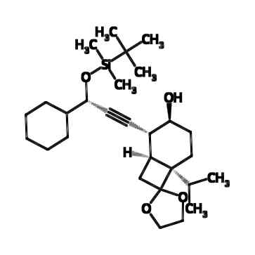 CC(C)[C@@]12CC[C@H](O)[C@@H](C#C[C@@H](O[Si](C)(C)C(C)(C)C)C3CCCCC3)[C@@H]1CC21OCCO1